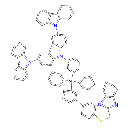 c1ccc([Si](c2ccccc2)(c2cccc(-c3ccc4c(c3)-n3c(nc5ccccc53)CS4)c2)c2cccc(-n3c4ccc(-n5c6ccccc6c6ccccc65)cc4c4cc(-n5c6ccccc6c6ccccc65)ccc43)c2)cc1